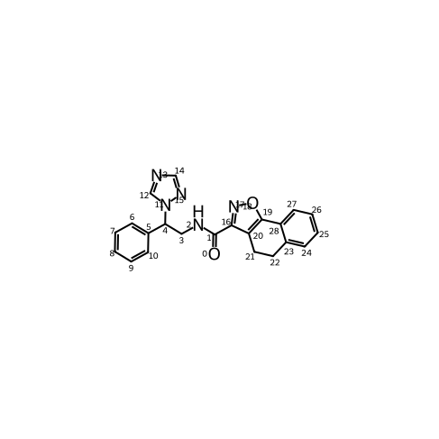 O=C(NCC(c1ccccc1)n1cncn1)c1noc2c1CCc1ccccc1-2